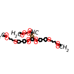 [C-]#[N+]C(C(=O)OCCOC(=O)C=C)=C1Sc2c(OC(=O)C3CCC(C4CCC(OCCCCCOC(=O)C=C)CC4)CC3)ccc(OC(=O)C3CCC(C4CCC(OCCCCCOC(=O)C=C)CC4)CC3)c2S1